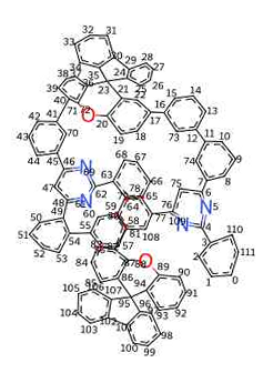 c1ccc(-c2nc(-c3cccc(-c4cccc(-c5ccc6c(c5)C5(c7ccccc7-c7ccccc75)c5cccc(-c7cccc(-c8cc(-c9ccccc9-c9ccccc9)nc(-c9ccccc9)n8)c7)c5O6)c4)c3)cc(-c3cccc(-c4cccc5c4Oc4ccccc4C54c5ccccc5-c5ccccc54)c3)n2)cc1